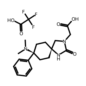 CN(C)[C@]1(c2ccccc2)CC[C@@]2(CC1)CN(CC(=O)O)C(=O)N2.O=C(O)C(F)(F)F